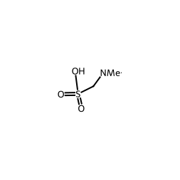 C[N]CS(=O)(=O)O